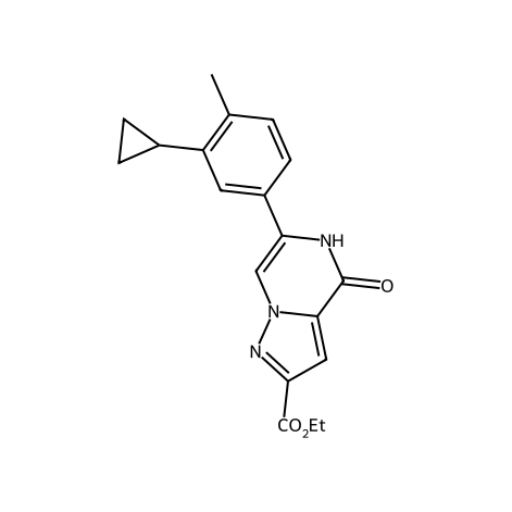 CCOC(=O)c1cc2c(=O)[nH]c(-c3ccc(C)c(C4CC4)c3)cn2n1